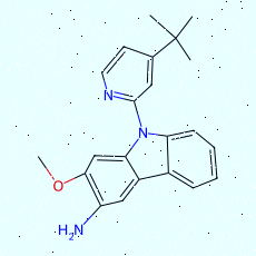 COc1cc2c(cc1N)c1ccccc1n2-c1cc(C(C)(C)C)ccn1